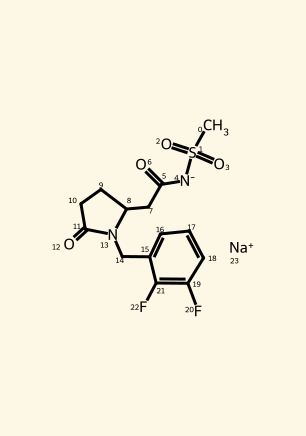 CS(=O)(=O)[N-]C(=O)CC1CCC(=O)N1Cc1cccc(F)c1F.[Na+]